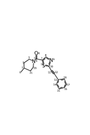 CC1CCN(C(=O)c2cnc(C#Cc3ccccc3)s2)CC1